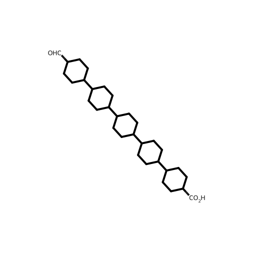 O=CC1CCC(C2CCC(C3CCC(C4CCC(C5CCC(C(=O)O)CC5)CC4)CC3)CC2)CC1